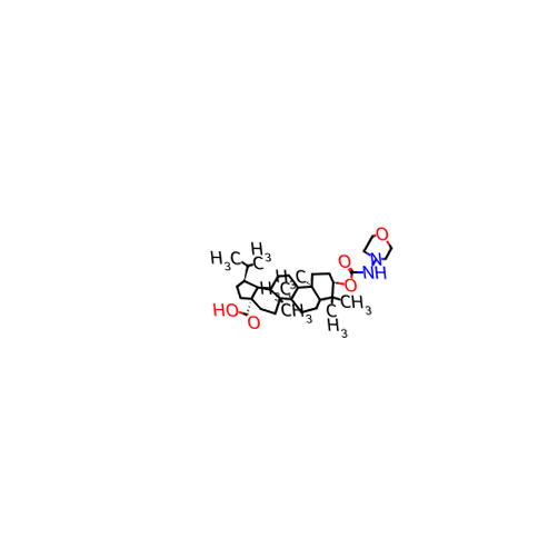 CC(C)[C@@H]1CC[C@]2(C(=O)O)CC[C@]3(C)C(CCC4[C@@]5(C)CC[C@@H](OC(=O)NN6CCOCC6)C(C)(C)C5CC[C@]43C)C12